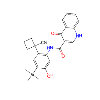 C[Si](C)(C)c1cc(C2(C#N)CCC2)c(NC(=O)c2c[nH]c3ccccc3c2=O)cc1O